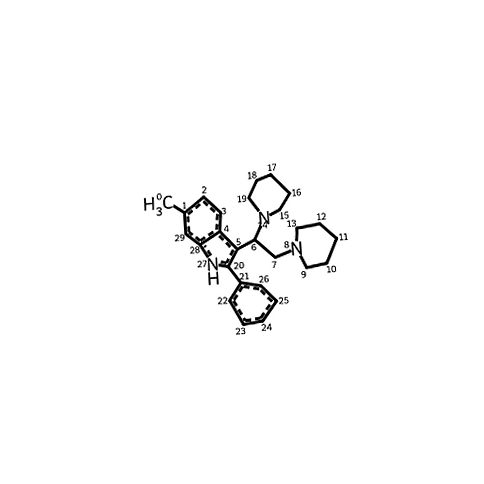 Cc1ccc2c(C(CN3CCCCC3)N3CCCCC3)c(-c3ccccc3)[nH]c2c1